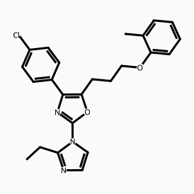 CCc1nccn1-c1nc(-c2ccc(Cl)cc2)c(CCCOc2ccccc2C)o1